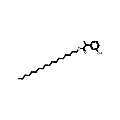 CCCCCCCCCCCCCCCCCCOC(=O)C(C)c1cccc(O)c1